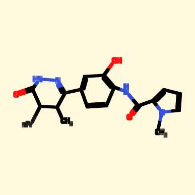 CCCC1C(=O)NN=C(c2ccc(NC(=O)c3cccn3C)c(O)c2)C1C